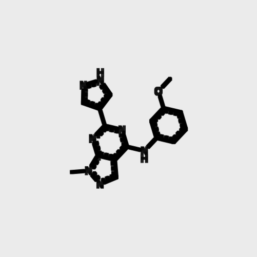 COc1cccc(Nc2nc(-c3cn[nH]c3)nc3c2cnn3C)c1